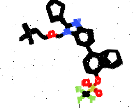 C[Si](C)(C)CCOCn1c(C2CCCC2)nc2ccc(-c3ccc(OS(=O)(=O)C(F)(F)F)c4c3C3CCC4C3)cc21